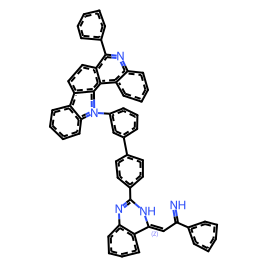 N=C(/C=C1\NC(c2ccc(-c3cccc(-n4c5ccccc5c5ccc6c(-c7ccccc7)nc7ccccc7c6c54)c3)cc2)=Nc2ccccc21)c1ccccc1